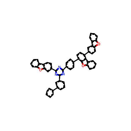 c1ccc(-c2cccc(-c3nc(-c4ccc(-c5ccc(-c6ccc7oc8ccccc8c7c6)c6c5oc5ccccc56)cc4)nc(-c4ccc5c(c4)oc4ccccc45)n3)c2)cc1